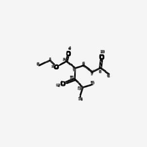 CCOC(=O)C(CCC(C)=O)C(=O)C(C)C